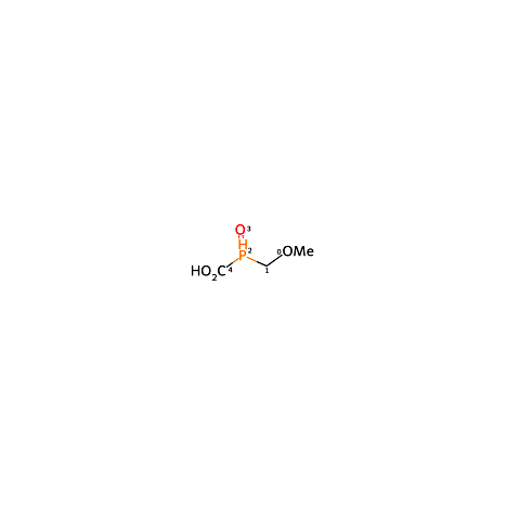 COC[PH](=O)C(=O)O